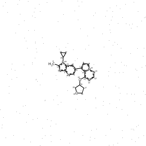 Cc1nc2ncc(-c3ccn4ncnc(OC5CCOC5)c34)cc2n1C1CC1